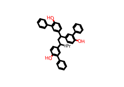 CCCC(CC(c1ccc(O)c(-c2ccccc2)c1)c1ccc(O)c(-c2ccccc2)c1)c1ccc(O)c(-c2ccccc2)c1